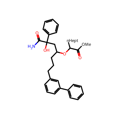 CCCCCCCC(OC(CCCc1cccc(-c2ccccc2)c1)CC(O)(C(N)=O)c1ccccc1)C(=O)OC